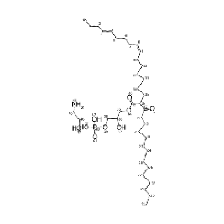 CCCCCCCC/C=C\CCCCCCC(C(=O)CCCCCCCCCCCCC)C(=O)OCC(O)COP(=O)(O)O.NCCO